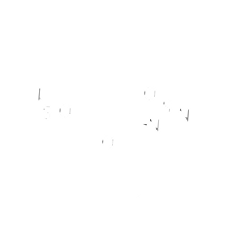 CN=S(=O)(c1ccccc1)N(Cc1ccccc1)[C@@H]1CC[C@@H](COSI)OC1